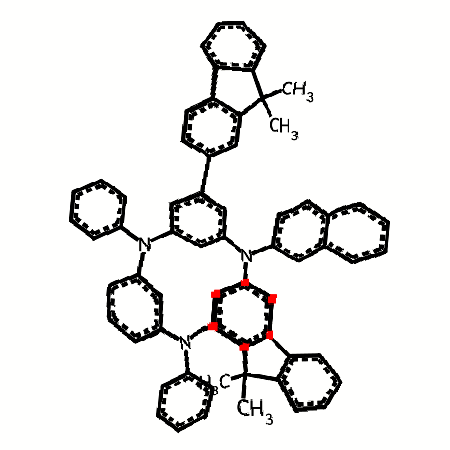 CC1(C)c2ccccc2-c2ccc(-c3cc(N(c4ccccc4)c4cccc(N(c5ccccc5)c5cccc6c5C(C)(C)c5ccccc5-6)c4)cc(N(c4ccccc4)c4ccc5ccccc5c4)c3)cc21